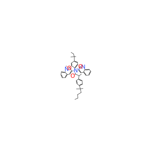 CCCCC(C)(C)c1ccc(C(C)C(=O)[N+](c2cnc3ccccc3c2)(c2cnc3ccccc3c2)c2c(OC)cc(C(C)(C)CC)cc2OC)cc1